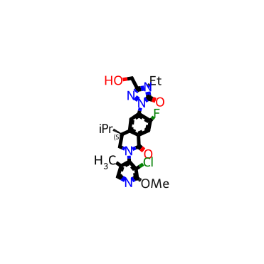 CCn1c(CO)nn(-c2cc3c(cc2F)C(=O)N(c2c(C)cnc(OC)c2Cl)C[C@H]3C(C)C)c1=O